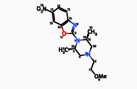 COCCN1C[C@@H](C)N(c2nc3ccc([N+](=O)[O-])cc3o2)[C@@H](C)C1